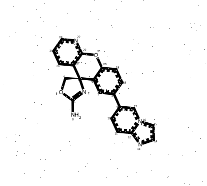 NC1=N[C@@]2(CO1)c1cc(-c3ccc4nccn4c3)ccc1Oc1ncccc12